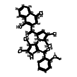 COc1ccccc1C(=O)c1[nH]c(Cl)c(Cl)c1-n1c(C(=O)c2cc(Cl)c3ccccc3c2O)cc(Cl)c1Cl